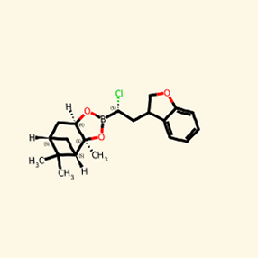 CC1(C)[C@@H]2C[C@H]3OB([C@H](Cl)CC4COc5ccccc54)O[C@@]3(C)[C@H]1C2